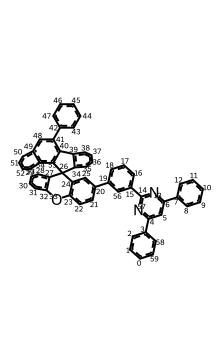 c1ccc(-c2cc(-c3ccccc3)nc(-c3cccc(-c4ccc5c(c4)C4(c6ccccc6O5)c5ccccc5-c5c(-c6ccccc6)cc6ccccc6c54)c3)n2)cc1